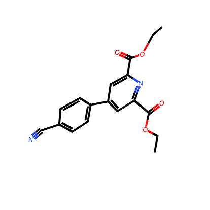 CCOC(=O)c1cc(-c2ccc(C#N)cc2)cc(C(=O)OCC)n1